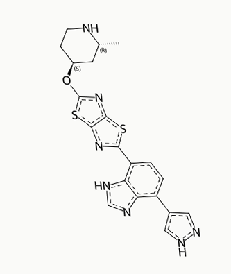 C[C@@H]1C[C@@H](Oc2nc3sc(-c4ccc(-c5cn[nH]c5)c5nc[nH]c45)nc3s2)CCN1